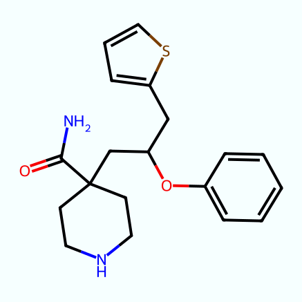 NC(=O)C1(CC(Cc2cccs2)Oc2ccccc2)CCNCC1